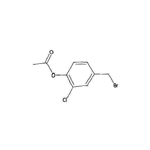 CC(=O)Oc1ccc(CBr)cc1Cl